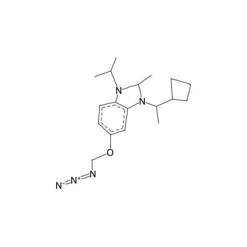 CC(C)N1c2ccc(OCN=[N+]=[N-])cc2N(C(C)C2CCC2)C1C